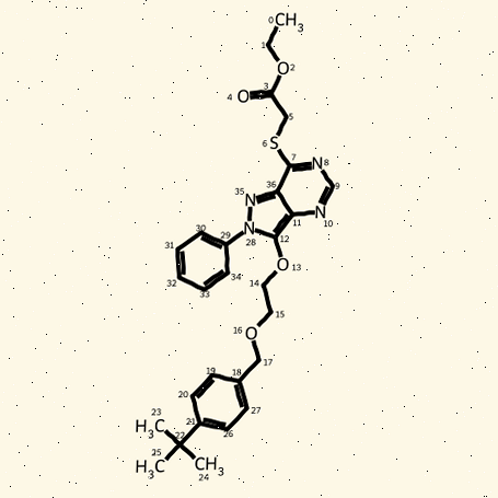 CCOC(=O)CSc1ncnc2c(OCCOCc3ccc(C(C)(C)C)cc3)n(-c3ccccc3)nc12